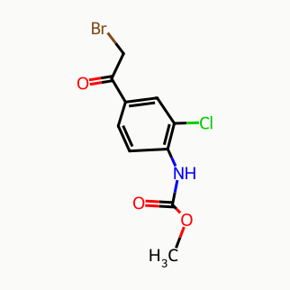 COC(=O)Nc1ccc(C(=O)CBr)cc1Cl